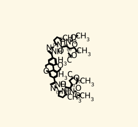 COC(=O)N[C@H](C(=O)N1[C@@H](C)CC[C@H]1c1ncc(-c2cc3c4c(c2)OCc2cc(-c5cnc([C@@H]6CC[C@H](C)N6C(=O)[C@@H](NC(=O)OC)[C@H]6C[C@@H](C)O[C@@H](C)C6)[nH]5)cc(c2-4)OC3)[nH]1)[C@H]1C[C@@H](C)O[C@@H](C)C1